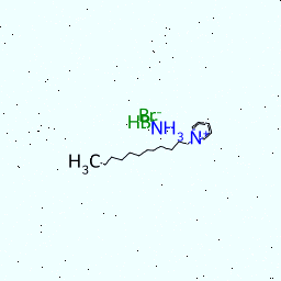 Br.CCCCCCCCCCCC[n+]1ccccc1.N.[Br-]